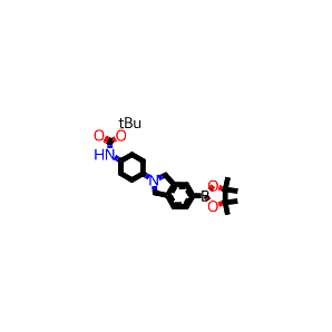 CC(C)(C)OC(=O)NC1CCC(N2Cc3ccc(B4OC(C)(C)C(C)(C)O4)cc3C2)CC1